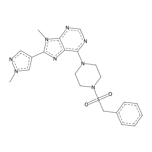 Cn1cc(-c2nc3c(N4CCN(S(=O)(=O)Cc5ccccc5)CC4)ncnc3n2C)cn1